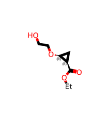 CCOC(=O)[C@@H]1C[C@H]1OCCO